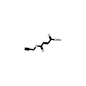 C#CCOC(=O)/C=C/C(=O)OC